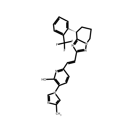 Cc1cn(-c2ccc(C=Cc3nc4n(n3)CCC[C@H]4c3ccccc3C(F)(F)F)nc2O)cn1